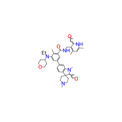 CCN(c1cc(-c2ccc3c(c2)N(C)C(=C=O)C32CCN(C)CC2)cc(C(=O)NCC2=C(C)C=C(C)NC2=C=O)c1C)C1CCOCC1